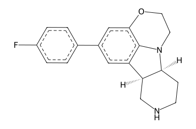 Fc1ccc(-c2cc3c4c(c2)[C@@H]2CNCC[C@@H]2N4CCO3)cc1